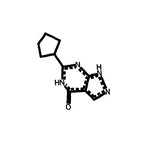 O=c1[nH]c(C2CCCC2)nc2[nH]ncc12